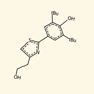 CC(C)(C)c1cc(-c2nc(CCO)cs2)cc(C(C)(C)C)c1O